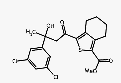 COC(=O)c1sc(C(=O)CC(C)(O)c2cc(Cl)cc(Cl)c2)c2c1CCCC2